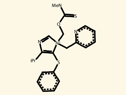 CNC(=S)OC[N+]1(Cc2ccccn2)C=NC(C(C)C)=C1Sc1ccccc1